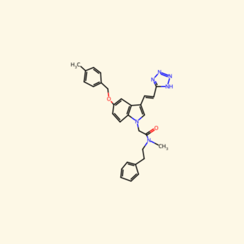 Cc1ccc(COc2ccc3c(c2)c(C=Cc2nnn[nH]2)cn3CC(=O)N(C)CCc2ccccc2)cc1